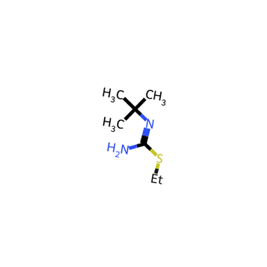 CCS/C(N)=N/C(C)(C)C